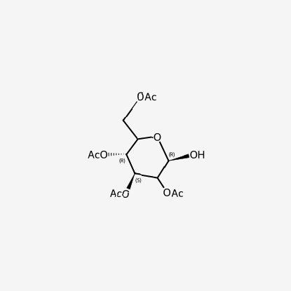 CC(=O)OCC1O[C@@H](O)C(OC(C)=O)[C@@H](OC(C)=O)[C@@H]1OC(C)=O